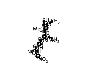 C=CCOC(=O)c1ccc(NC(=O)c2ccc(NC(=O)c3ccc(NC(=O)[C@H](CC#N)NC(=O)c4ccc([N+](=O)[O-])cc4)cn3)c(OC)c2OCC=C)c(OC)c1OCC=C